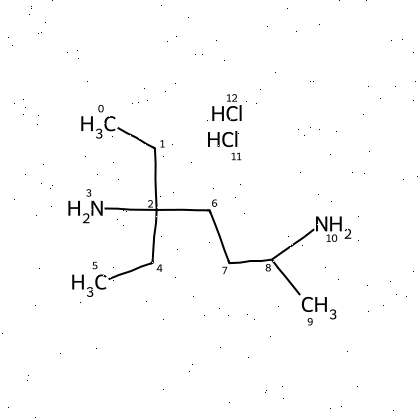 CCC(N)(CC)CCC(C)N.Cl.Cl